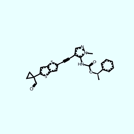 C[C@@H](OC(=O)Nc1c(C#Cc2cc3sc(C4(C=O)CC4)cc3s2)cnn1C)c1ccccc1